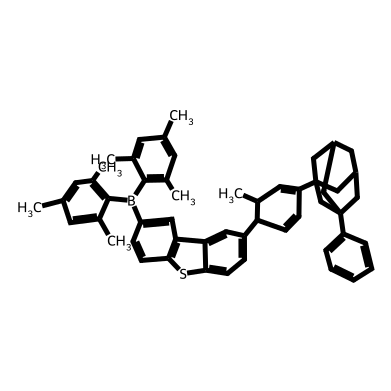 Cc1cc(C)c(B(c2ccc3sc4ccc(C5C=CC(C67CC8CC(C6)CC(c6ccccc6)(C8)C7)=CC5C)cc4c3c2)c2c(C)cc(C)cc2C)c(C)c1